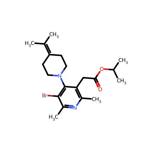 CC(C)=C1CCN(c2c(Br)c(C)nc(C)c2CC(=O)OC(C)C)CC1